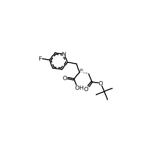 CC(C)(C)OC(=O)C[C@@H](Cc1ccc(F)cn1)C(=O)O